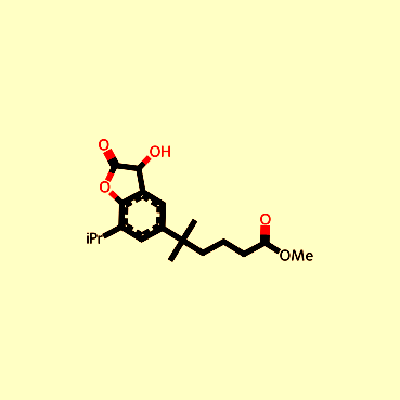 COC(=O)CCCC(C)(C)c1cc(C(C)C)c2c(c1)C(O)C(=O)O2